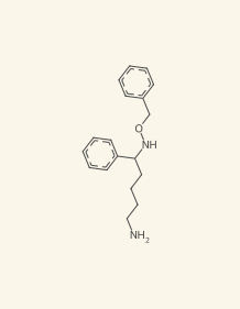 NCCCCC(NOCc1ccccc1)c1ccccc1